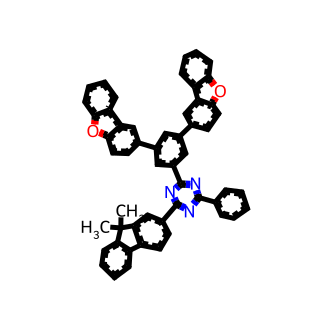 CC1(C)c2ccccc2-c2ccc(-c3nc(-c4ccccc4)nc(-c4cc(-c5ccc6oc7ccccc7c6c5)cc(-c5ccc6oc7ccccc7c6c5)c4)n3)cc21